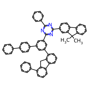 CC1(C)c2ccccc2-c2ccc(-c3nc(-c4ccccc4)nc(-c4cc(-c5ccc(-c6ccccc6)cc5)cc(-c5cccc6c5Cc5c(-c7ccccc7)cccc5-6)c4)n3)cc21